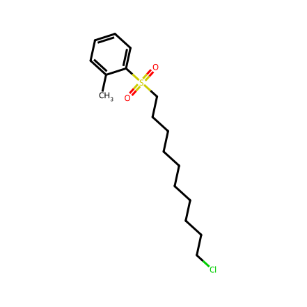 Cc1ccccc1S(=O)(=O)CCCCCCCCCCCl